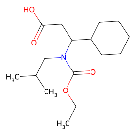 CCOC(=O)N(CC(C)C)C(CC(=O)O)C1CCCCC1